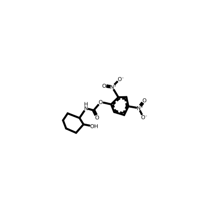 O=C(NC1CCCCC1O)Oc1ccc([N+](=O)[O-])cc1[N+](=O)[O-]